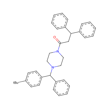 CC(C)(C)c1ccc(C(c2ccccc2)N2CCN(C(=O)CC(c3ccccc3)c3ccccc3)CC2)cc1